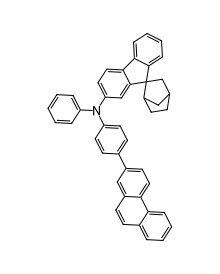 c1ccc(N(c2ccc(-c3ccc4c(ccc5ccccc54)c3)cc2)c2ccc3c(c2)C2(CC4CCC2C4)c2ccccc2-3)cc1